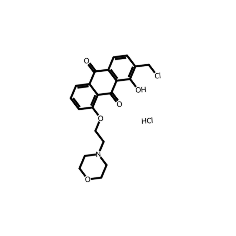 Cl.O=C1c2cccc(OCCN3CCOCC3)c2C(=O)c2c1ccc(CCl)c2O